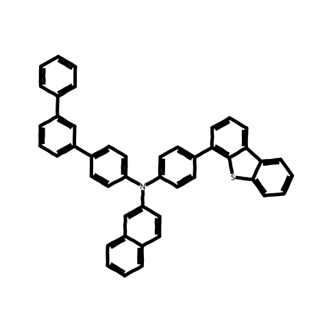 c1ccc(-c2cccc(-c3ccc(N(c4ccc(-c5cccc6c5sc5ccccc56)cc4)c4ccc5ccccc5c4)cc3)c2)cc1